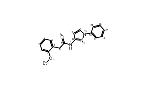 CCOc1ccccc1CC(=O)Nc1ccn(-c2ccccc2)n1